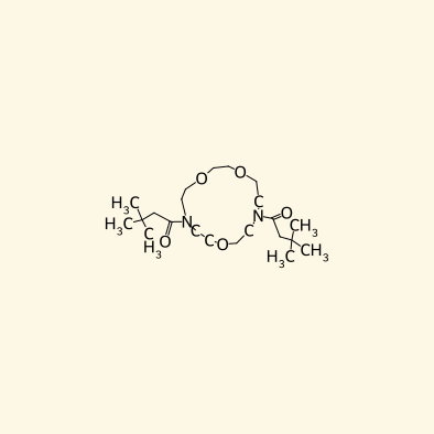 CC(C)(C)CC(=O)N1CCOCCOCCN(C(=O)CC(C)(C)C)CCOCC1